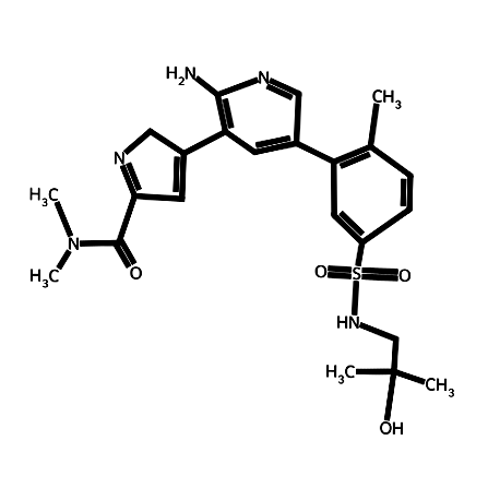 Cc1ccc(S(=O)(=O)NCC(C)(C)O)cc1-c1cnc(N)c(C2=CC(C(=O)N(C)C)=NC2)c1